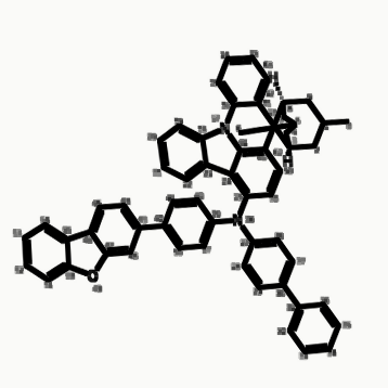 CC1C[C@H]2CC(C)C[C@H](C1)C21c2ccccc2-n2c3ccccc3c3c(N(c4ccc(-c5ccccc5)cc4)c4ccc(-c5ccc6c(c5)oc5ccccc56)cc4)ccc1c32